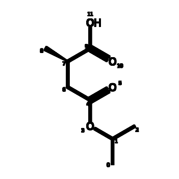 CC(C)OC(=O)C[C@@H](C)C(=O)O